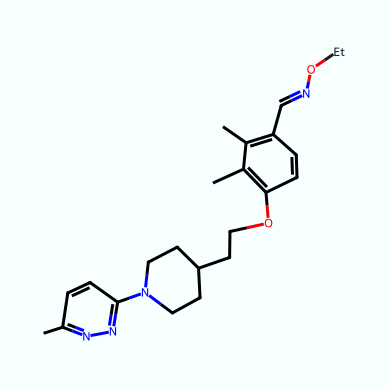 CCON=Cc1ccc(OCCC2CCN(c3ccc(C)nn3)CC2)c(C)c1C